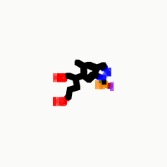 Cc1cc2cnn(PI)c2cc1C(CO)CCCO